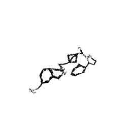 N#Cc1ccc2c(cnn2CC23CC(C(=O)N4N=CCC4c4ccccc4)(C2)C3)c1